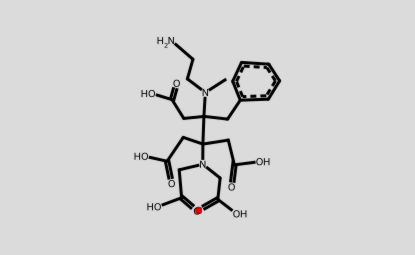 CN(CCN)C(CC(=O)O)(Cc1ccccc1)C(CC(=O)O)(CC(=O)O)N(CC(=O)O)CC(=O)O